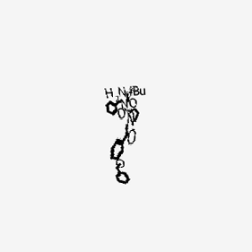 CC[C@H](C)[C@H](N)C(=O)N(Cc1ccccc1)C(=O)[C@@H]1CCCN1CC(=O)c1cccc(OCc2ccccc2)c1